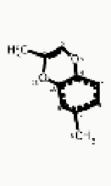 CC1=COc2ccc(C)cc2O1